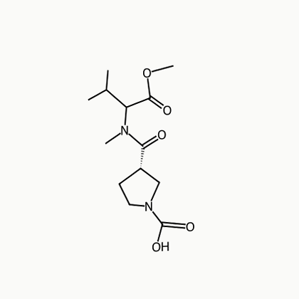 COC(=O)C(C(C)C)N(C)C(=O)[C@H]1CCN(C(=O)O)C1